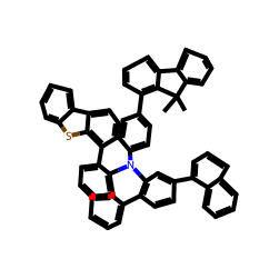 CC1(C)c2ccccc2-c2cccc(-c3ccc(N(c4cc(-c5cccc6ccccc56)ccc4-c4ccccc4)c4ccccc4-c4cccc5c4sc4ccccc45)cc3)c21